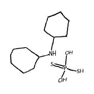 C1CCC(NC2CCCCC2)CC1.OP(O)(=S)S